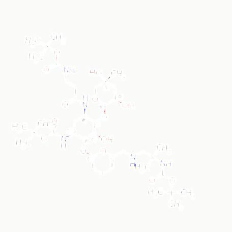 CC(C)(CNCC1=CCC[C@@H](O[C@H]2[C@H](O)[C@@H](O[C@H]3OC[C@](C)(O)C[C@H]3O)[C@H](NC(=O)CCNC(=O)OC(C)(C)C)C[C@@H]2NC(=O)OC(C)(C)C)O1)NC(=O)OC(C)(C)C